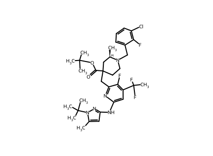 Cc1cc(Nc2cc(C(C)(F)F)c(F)c(CC3(C(=O)OC(C)(C)C)CCN(Cc4cccc(Cl)c4F)[C@H](C)C3)n2)nn1C(C)(C)C